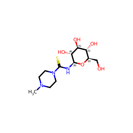 CN1CCN(C(=S)N[C@@H]2O[C@H](CO)[C@@H](O)[C@H](O)[C@H]2O)CC1